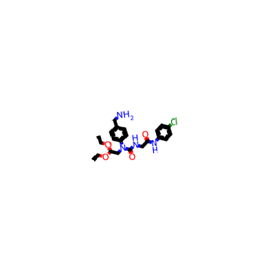 CCOC(CN(C(=O)NCC(=O)Nc1ccc(Cl)cc1)c1ccc(CN)cc1)OCC